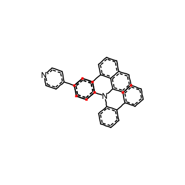 c1ccc(-c2ccccc2N(c2ccc(-c3ccncc3)cc2)c2cccc3cccc(-c4ccccc4)c23)cc1